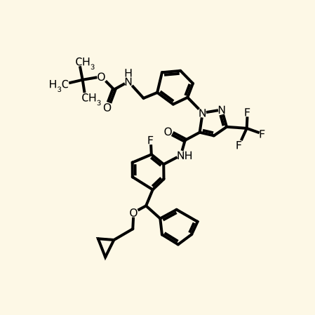 CC(C)(C)OC(=O)NCc1cccc(-n2nc(C(F)(F)F)cc2C(=O)Nc2cc(C(OCC3CC3)c3ccccc3)ccc2F)c1